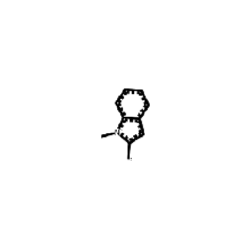 [CH]c1cc2ccccc2n1C